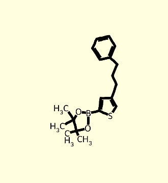 CC1(C)OB(c2cc(CCCc3ccccc3)cs2)OC1(C)C